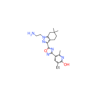 CCc1cc(-c2noc(-c3nn(CCN)c4c3CCC(C)(C)C4)n2)c(C)nc1O